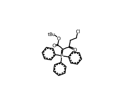 CC(C)(C)OC(=O)C(C(=O)CCCl)=P(c1ccccc1)(c1ccccc1)c1ccccc1